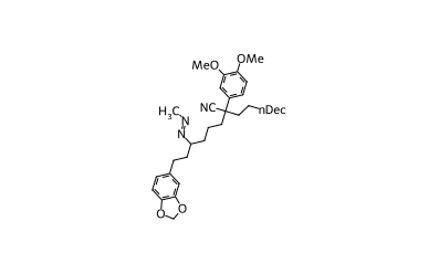 CCCCCCCCCCCCC(C#N)(CCCC(CCc1ccc2c(c1)OCO2)N=NC)c1ccc(OC)c(OC)c1